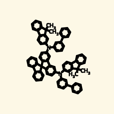 CC1(C)c2ccccc2-c2ccc(N(c3cccc(-c4ccccc4)c3)c3ccc4c(c3)-c3cc(N(c5cccc(-c6ccccc6)c5)c5ccc6c(c5)C(C)(C)c5ccccc5-6)ccc3C43c4ccccc4-c4ccccc43)cc21